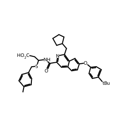 Cc1ccc(CSC(CC(=O)O)NC(=O)c2cc3ccc(Oc4ccc(C(C)(C)C)cc4)cc3c(CC3CCCC3)n2)cc1